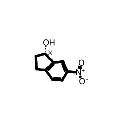 O=[N+]([O-])c1ccc2c(c1)[C@@H](O)CC2